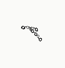 c1ccc(COCC(COCc2ccccc2)Oc2ccc(-c3ccc(OCc4ccccc4)cc3)cc2)cc1